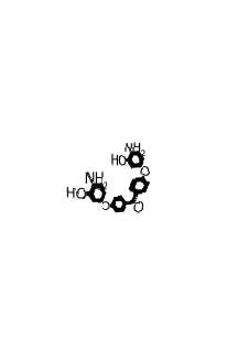 Nc1ccc(Oc2ccc(C(=O)c3ccc(Oc4ccc(N)c(O)c4)cc3)cc2)cc1O